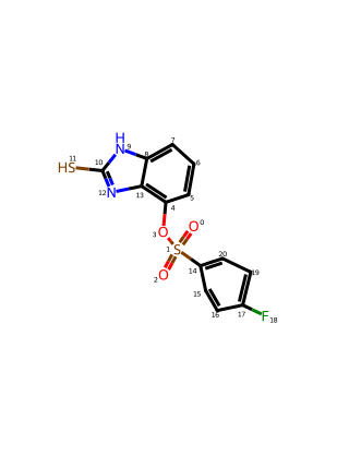 O=S(=O)(Oc1cccc2[nH]c(S)nc12)c1ccc(F)cc1